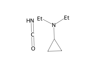 CCN(CC)C1CC1.N=C=O